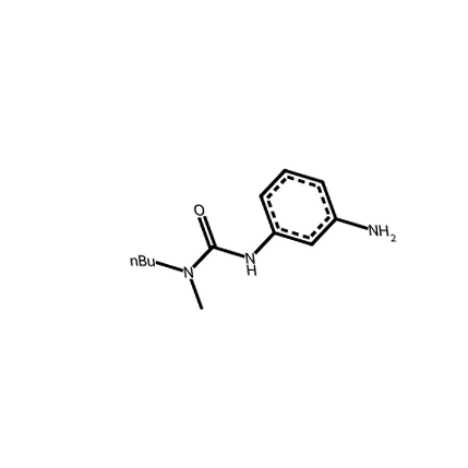 CCCCN(C)C(=O)Nc1cccc(N)c1